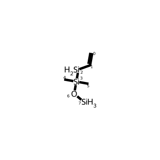 C=C[SiH2][Si](C)(C)O[SiH3]